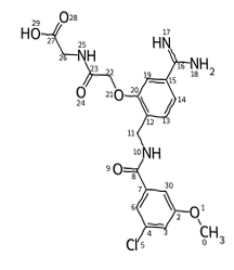 COc1cc(Cl)cc(C(=O)NCc2ccc(C(=N)N)cc2OCC(=O)NCC(=O)O)c1